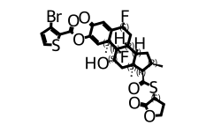 C[C@@H]1C[C@H]2[C@H]3C[C@H](F)C4=CC(=O)C(OC(=O)c5sccc5Br)=C[C@]4(C)[C@@]3(F)[C@@H](O)C[C@]2(C)[C@@H]1C(=O)S[C@H]1CCOC1=O